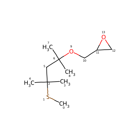 CSC(C)(C)CC(C)(C)OCC1CO1